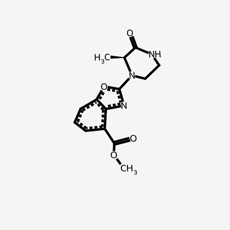 COC(=O)c1cccc2oc(N3CCNC(=O)[C@@H]3C)nc12